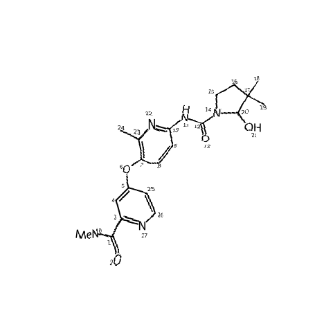 CNC(=O)c1cc(Oc2ccc(NC(=O)N3CCC(C)(C)C3O)nc2C)ccn1